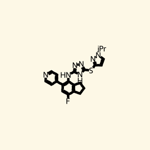 CC(C)n1ccc(Sc2nnc(Nc3c(-c4ccncc4)cc(F)c4c3CCC4)[nH]2)n1